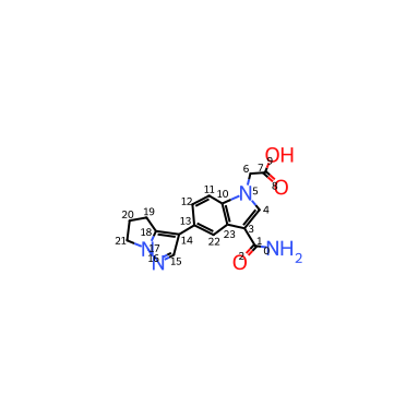 NC(=O)c1cn(CC(=O)O)c2ccc(-c3cnn4c3CCC4)cc12